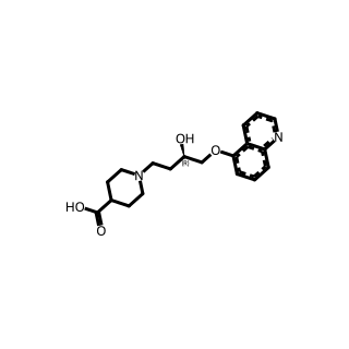 O=C(O)C1CCN(CC[C@@H](O)COc2cccc3ncccc23)CC1